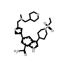 CCS(=O)(=O)N1CCC(c2c[nH]c3c(C(N)=O)cc(-c4csc(CN(C)CC5CCOCC5)c4)cc23)CC1